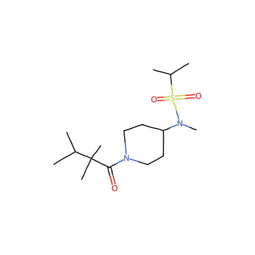 CC(C)C(C)(C)C(=O)N1CCC(N(C)S(=O)(=O)C(C)C)CC1